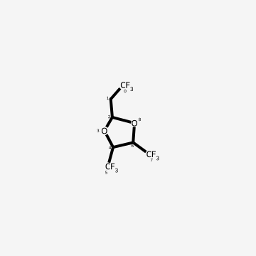 FC(F)(F)CC1OC(C(F)(F)F)C(C(F)(F)F)O1